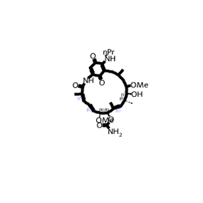 CCCNC1=C2CC(C)CC(OC)[C@@H](O)[C@H](C)/C=C(\C)[C@@H](OC(N)=O)[C@H](OC)/C=C/C=C(/C)C(=O)NC(=CC1=O)C2=O